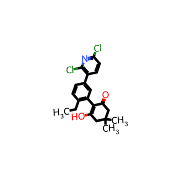 CCc1ccc(-c2ccc(Cl)nc2Cl)cc1C1=C(O)CC(C)(C)CC1=O